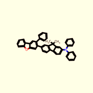 CC1(C)c2cc(-c3cc4oc5ccccc5c4cc3-c3ccccc3)ccc2-c2ccc(N(c3ccccc3)c3ccccc3)cc21